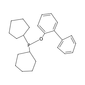 c1ccc(-c2ccccc2OP(C2CCCCC2)C2CCCCC2)cc1